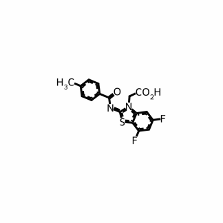 Cc1ccc(C(=O)N=c2sc3c(F)cc(F)cc3n2CC(=O)O)cc1